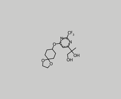 CC(O)(CO)c1cc(OC2CCC3(CC2)OCCO3)nc(C(F)(F)F)n1